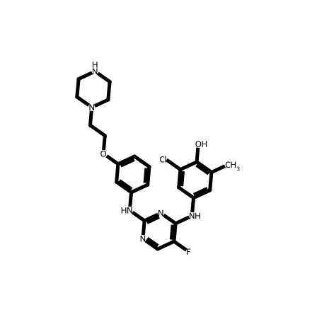 Cc1cc(Nc2nc(Nc3cccc(OCCN4CCNCC4)c3)ncc2F)cc(Cl)c1O